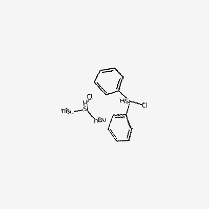 CCCC[SiH](Cl)CCCC.Cl[SiH](c1ccccc1)c1ccccc1